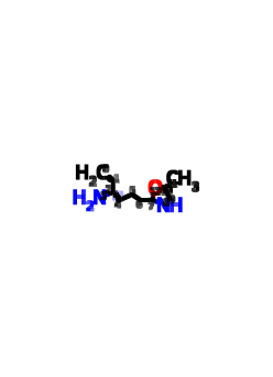 C=C/C(N)=C\CCC1NC[C@H](C)O1